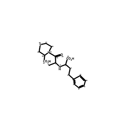 CC(NC(CCc1ccccc1)C(=O)O)C(=O)N1CCSCC1C(=O)O